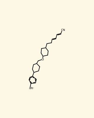 CCCc1ccc(C2CCC(COC3CCC(CCC=CC=CC#N)CC3)CC2)cc1